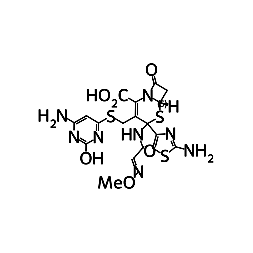 CON=CC(=O)NC1(c2csc(N)n2)S[C@H]2CC(=O)N2C(C(=O)O)=C1CSc1cc(N)nc(O)n1